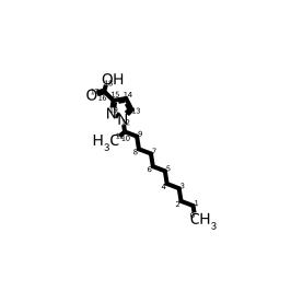 CCCCCCCCCCC(C)n1ccc(C(=O)O)n1